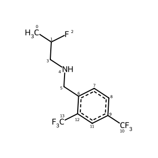 CC(F)CNCc1ccc(C(F)(F)F)cc1C(F)(F)F